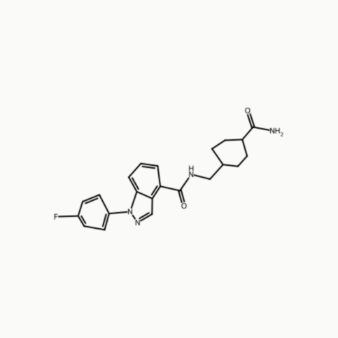 NC(=O)C1CCC(CNC(=O)c2cccc3c2cnn3-c2ccc(F)cc2)CC1